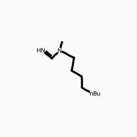 CCCCCCCCN(C)C=N